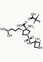 CC1(NS(=O)(=O)N2C[C@@H](CCCB(O)O)[C@@](N)(C(=O)O)C2)CNC1.O=C(O)C(F)(F)F